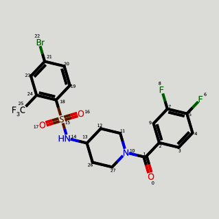 O=C(c1ccc(F)c(F)c1)N1CCC(NS(=O)(=O)c2ccc(Br)cc2C(F)(F)F)CC1